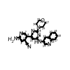 N#Cc1cc(N)ncc1-c1cc(Nc2cnc3ccccc3c2)nc(N2CCOCC2)n1